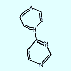 c1c[n+](-c2ccncn2)ccn1